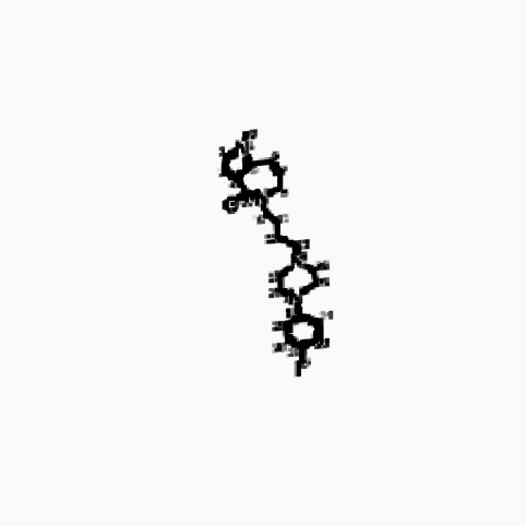 Cn1ccc2c1C=CCN(CCCCN1CCN(c3ccc(F)cc3)CC1)C2=O